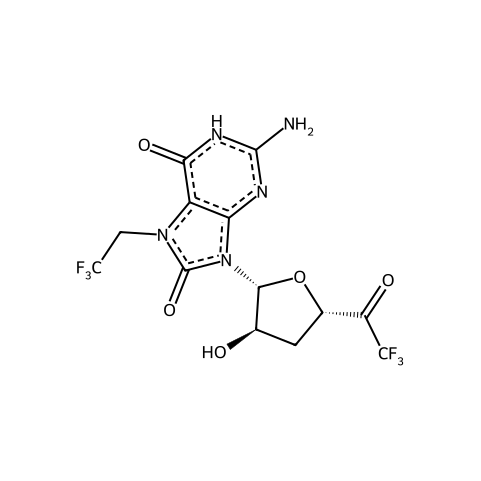 Nc1nc2c(c(=O)[nH]1)n(CC(F)(F)F)c(=O)n2[C@@H]1O[C@H](C(=O)C(F)(F)F)C[C@H]1O